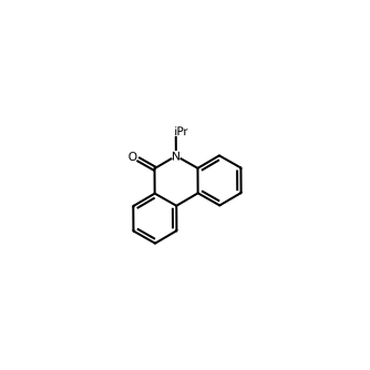 CC(C)n1c(=O)c2ccccc2c2ccccc21